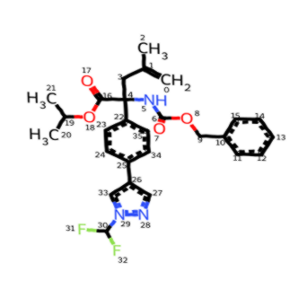 C=C(C)CC(NC(=O)OCc1ccccc1)(C(=O)OC(C)C)c1ccc(-c2cnn(C(F)F)c2)cc1